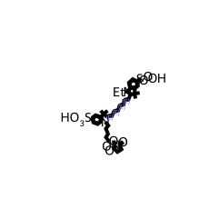 CC[N+]1=C(/C=C/C=C/C=C/C=C2/N(CCCCC(=O)ON3C(=O)CCC3=O)c3ccc(S(=O)(=O)O)cc3C2(C)C)C(C)(C)c2cc(SOOO)ccc21